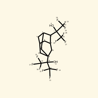 OC(C1C2CC3CC1CC(C(O)(C(F)(F)F)C(F)(F)F)(C3)C2)(C(F)(F)F)C(F)(F)F